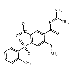 CCc1cc(S(=O)(=O)c2ccccc2C)c([N+](=O)[O-])cc1C(=O)N=C(N)N